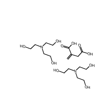 C=C(CC(=O)O)C(=O)O.OCCN(CCO)CCO.OCCN(CCO)CCO